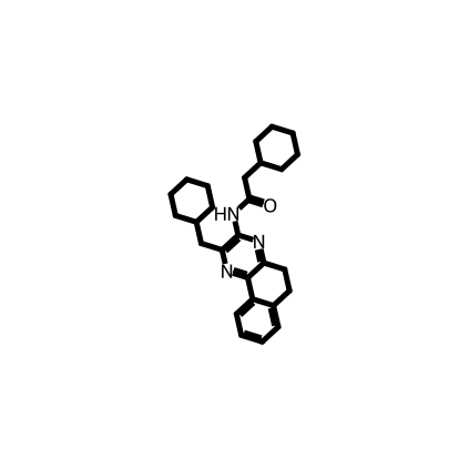 O=C(CC1CCCCC1)Nc1nc2c(nc1CC1CCCCC1)-c1ccccc1CC2